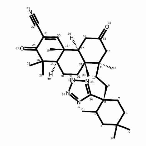 CC1CC(C)(C)CC[C@@]1(CC[C@]1(C)CC(=O)C[C@@H]2[C@@]3(C)C=C(C#N)C(=O)C(C)(C)[C@@H]3CC[C@]21C)c1nn[nH]n1